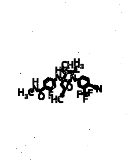 C#CCCC(CCC)(Nc1ccc(C(=O)NC)c(F)c1)C(=O)N(C(C)=S)c1ccc(C#N)c(C(F)(F)F)c1